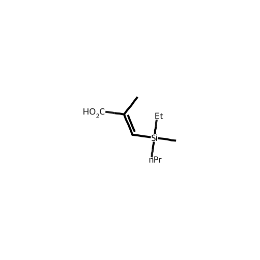 CCC[Si](C)(C=C(C)C(=O)O)CC